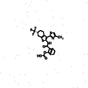 Cc1csc(-c2c(NC(=O)C3=C(OC(=O)O)C4CCC3CC4)sc3c2CC[C@@H](C(F)(F)F)C3)n1